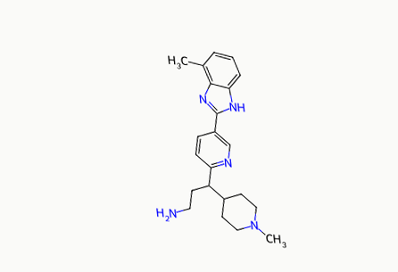 Cc1cccc2[nH]c(-c3ccc(C(CCN)C4CCN(C)CC4)nc3)nc12